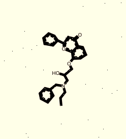 CCCN(Cc1ccccc1)CC(O)COc1cccc2c(=O)cc(-c3ccccc3)oc12